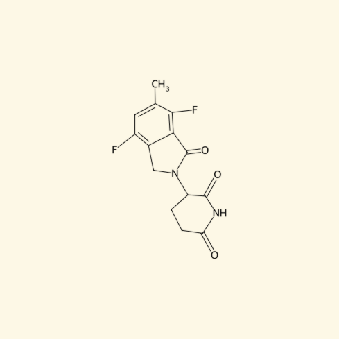 Cc1cc(F)c2c(c1F)C(=O)N(C1CCC(=O)NC1=O)C2